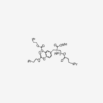 COC(=O)[C@@](N)(CCOC(=O)CCC(C)C)Cc1ccc(OC(=O)OCCC(C)C)c(OC(=O)OCCC(C)C)c1